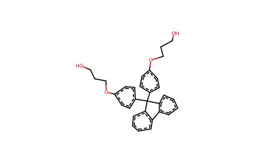 OCCCOc1ccc(C2(c3ccc(OCCCO)cc3)c3ccccc3-c3ccccc32)cc1